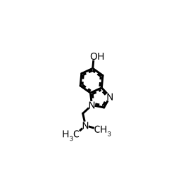 CN(C)Cn1cnc2cc(O)ccc21